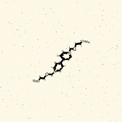 COCCOC[n+]1ccc(-c2cc[n+](COCCOC)cc2)cc1